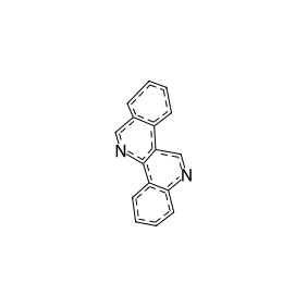 c1ccc2c(c1)cnc1c3ccccc3ncc21